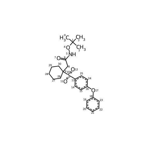 CC(C)(C)ONC(=O)CC1(S(=O)(=O)c2ccc(Oc3ccccc3)cc2)CCCCC1